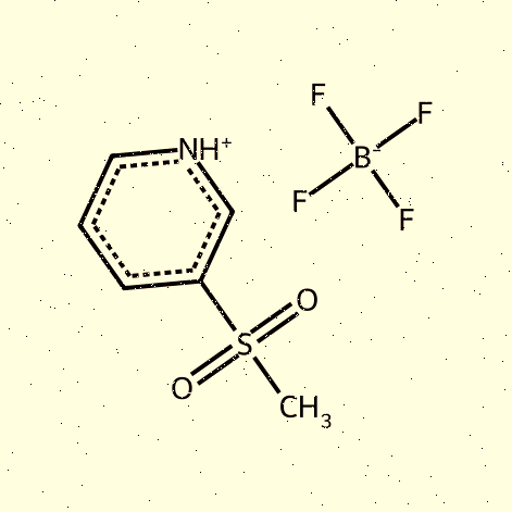 CS(=O)(=O)c1ccc[nH+]c1.F[B-](F)(F)F